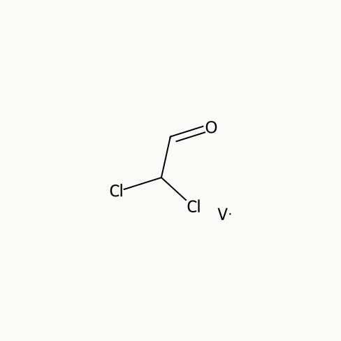 O=CC(Cl)Cl.[V]